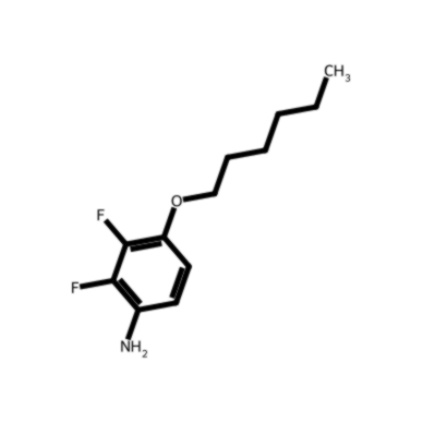 CCCCCCOc1ccc(N)c(F)c1F